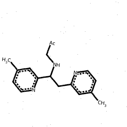 CC(=O)CNC(Cc1cc(C)ccn1)c1cc(C)ccn1